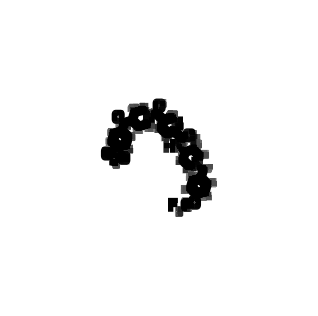 CS(=O)(=O)c1ccc(C(=O)C2CCN(C(=O)c3ccc(C(=O)N[C@H]4CCN(Cc5ccc(OC(F)(F)F)cc5)C[C@@H]4F)nc3)CC2)cc1